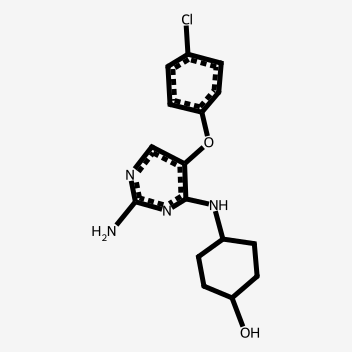 Nc1ncc(Oc2ccc(Cl)cc2)c(NC2CCC(O)CC2)n1